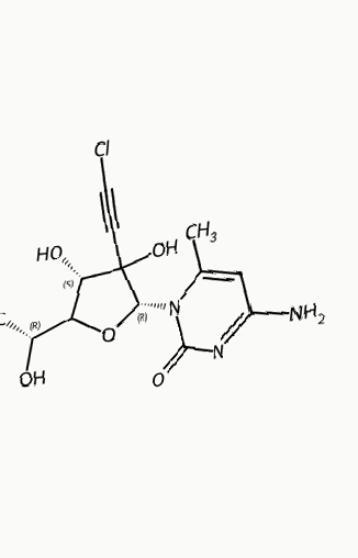 Cc1cc(N)nc(=O)n1[C@@H]1OC([C@@H](C)O)[C@H](O)C1(O)C#CCl